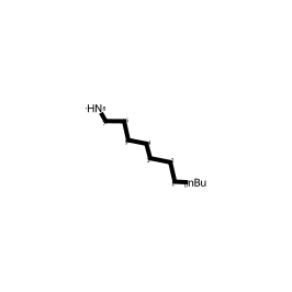 [CH2]CCCCCCCCCC[NH]